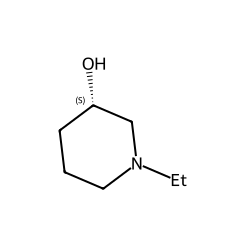 CCN1CCC[C@H](O)C1